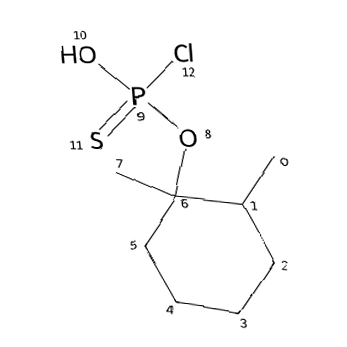 CC1CCCCC1(C)OP(O)(=S)Cl